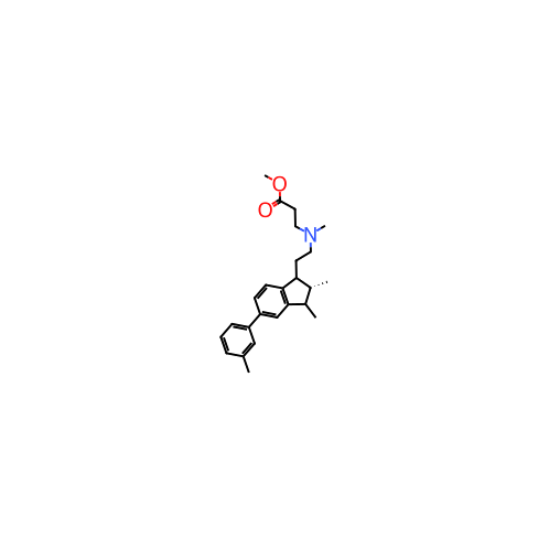 COC(=O)CCN(C)CCC1c2ccc(-c3cccc(C)c3)cc2C(C)[C@H]1C